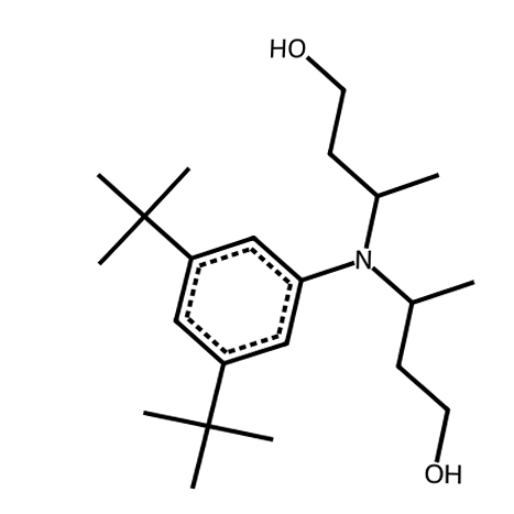 CC(CCO)N(c1cc(C(C)(C)C)cc(C(C)(C)C)c1)C(C)CCO